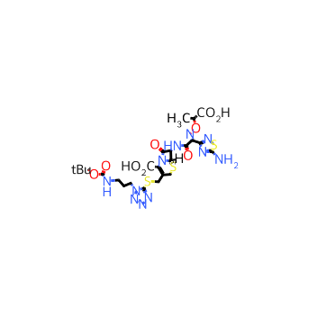 CC(ON=C(C(=O)NC1C(=O)N2C(C(=O)O)=C(CSc3nnnn3CCCNC(=O)OC(C)(C)C)CS[C@@H]12)c1nsc(N)n1)C(=O)O